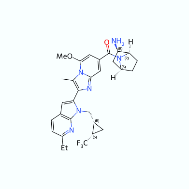 CCc1ccc2cc(-c3nc4cc(C(=O)N5[C@H]6CC[C@@H]5[C@H](N)C6)cc(OC)n4c3C)n(C[C@@H]3C[C@@H]3C(F)(F)F)c2n1